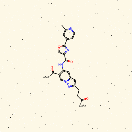 COC(=O)CCc1cc2cc(NC(=O)c3coc(-c4ccnc(C)c4)n3)c(C(=O)OC)cn2n1